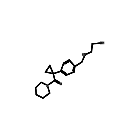 O=C(N1CCCCC1)C1(c2ccc(CNCCO)cc2)CC1